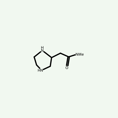 CNC(=O)CC1CNCCN1